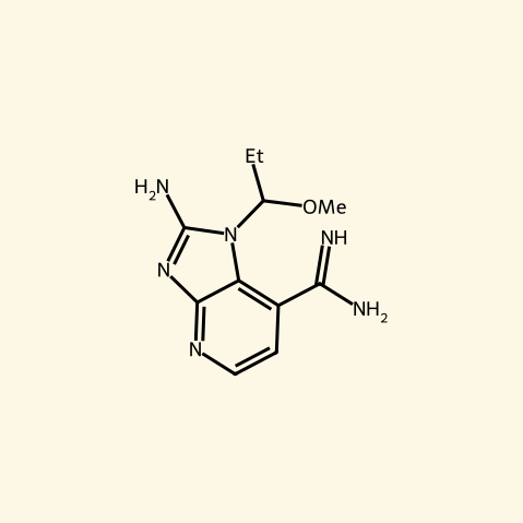 CCC(OC)n1c(N)nc2nccc(C(=N)N)c21